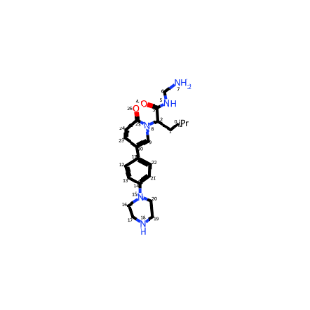 CC(C)CC(C(=O)NCN)n1cc(-c2ccc(N3CCNCC3)cc2)ccc1=O